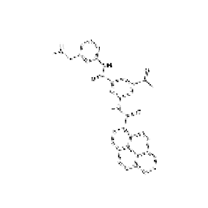 CNCc1cccc(NC(=O)c2cc(NC(=O)c3ccc4ccc5cccc6ccc3c4c56)cc(C(C)=O)c2)c1